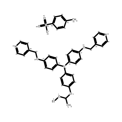 CCOC(C)Oc1ccc([S+](c2ccc(OCc3ccncc3)cc2)c2ccc(OCc3ccncc3)cc2)cc1.Cc1ccc(S(=O)(=O)[O-])cc1